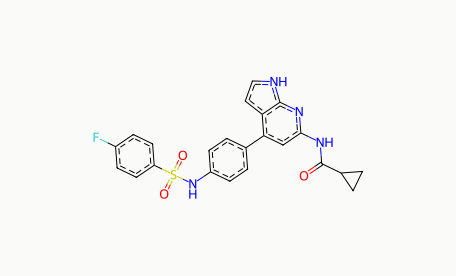 O=C(Nc1cc(-c2ccc(NS(=O)(=O)c3ccc(F)cc3)cc2)c2cc[nH]c2n1)C1CC1